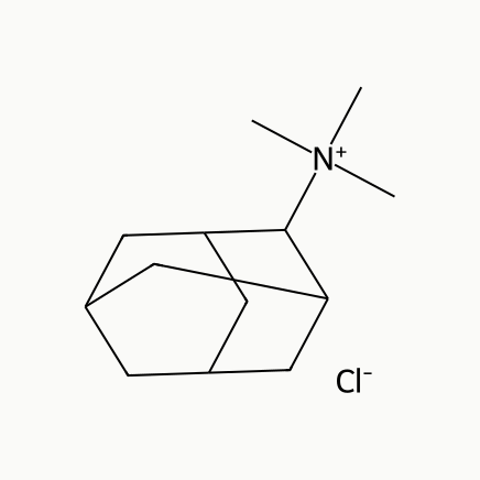 C[N+](C)(C)C1C2CC3CC(C2)CC1C3.[Cl-]